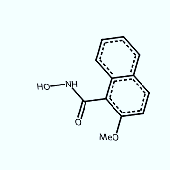 COc1ccc2ccccc2c1C(=O)NO